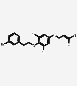 ClC(Cl)=CCOc1cc(Cl)c(OCCc2cccc(Br)c2)c(Cl)c1